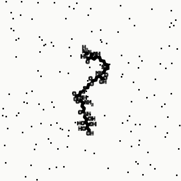 Nc1nc2[nH]c(CCCc3ccc(C(=O)NC(CCC(=O)OCCSSCC(NC(=O)C(N)CCC(=O)NCC(O)C(O)C(O)C(O)CO)C(=O)O)C(=O)O)s3)cc2c(=O)[nH]1